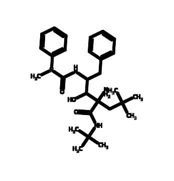 CN(C(=O)NC(Cc1ccccc1)C(O)C(N)(CC(C)(C)C)C(=O)NC(C)(C)C)c1ccccc1